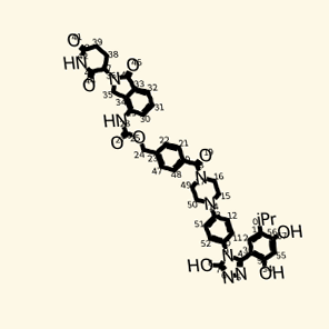 CC(C)c1cc(-c2nnc(O)n2-c2ccc(N3CCN(C(=O)c4ccc(COC(=O)Nc5cccc6c5CN(C5CCC(=O)NC5=O)C6=O)cc4)CC3)cc2)c(O)cc1O